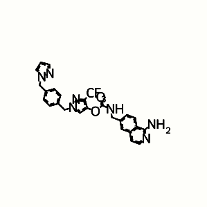 Nc1nccc2cc(CNC(=O)Oc3cn(Cc4ccc(Cn5cccn5)cc4)nc3C(F)(F)F)ccc12